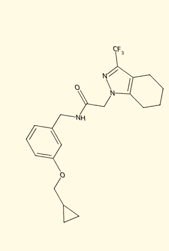 O=C(Cn1nc(C(F)(F)F)c2c1CCCC2)NCc1cccc(OCC2CC2)c1